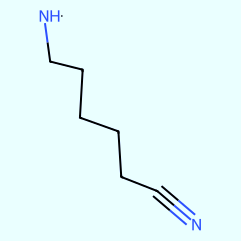 N#CCCCCC[NH]